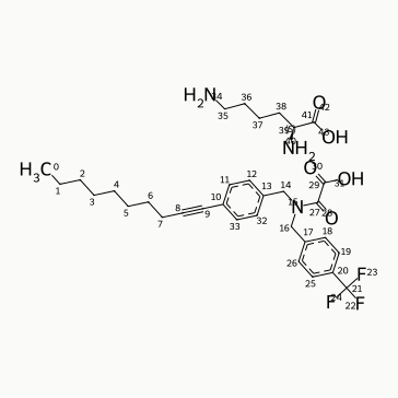 CCCCCCCCC#Cc1ccc(CN(Cc2ccc(C(F)(F)F)cc2)C(=O)C(=O)O)cc1.NCCCC[C@H](N)C(=O)O